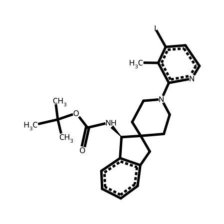 Cc1c(I)ccnc1N1CCC2(CC1)Cc1ccccc1[C@H]2NC(=O)OC(C)(C)C